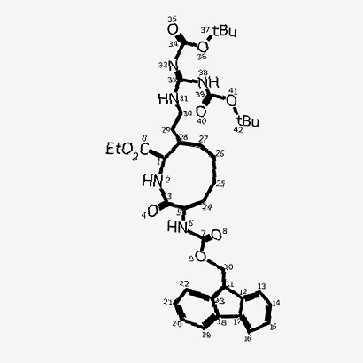 CCOC(=O)C1NC(=O)C(NC(=O)OCC2c3ccccc3-c3ccccc32)CCCCC1CCNC(=NC(=O)OC(C)(C)C)NC(=O)OC(C)(C)C